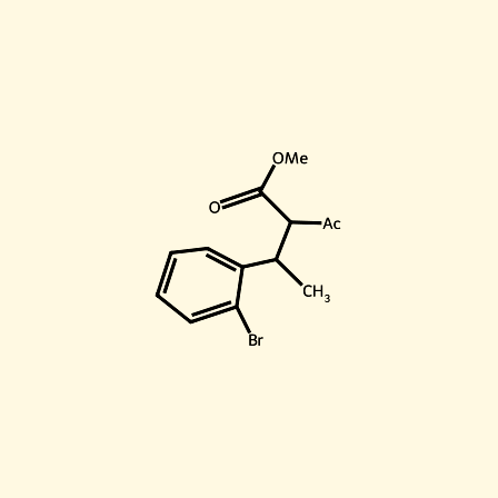 COC(=O)C(C(C)=O)C(C)c1ccccc1Br